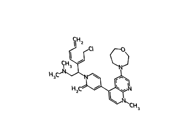 C=C/C=C\C(=CCCl)C(CN(C)C)N1C=CC(C2=C=CN(C)c3ncc(N4CCCOCC4)cc32)=CC1=C